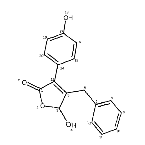 O=C1OC(O)C(Cc2ccccc2)=C1c1ccc(O)cc1